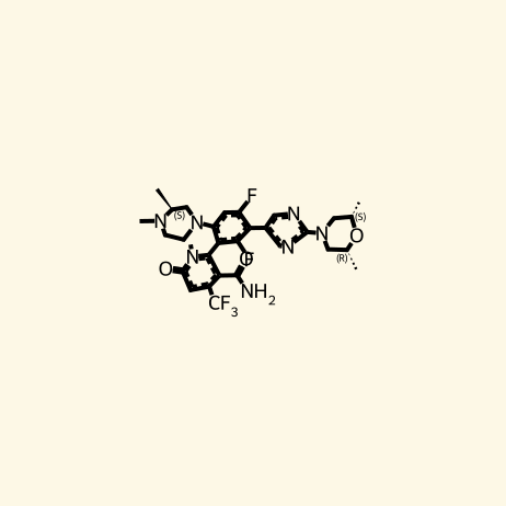 C[C@@H]1CN(c2ncc(-c3c(F)cc(N4CCN(C)[C@@H](C)C4)c(-c4c(C(N)=O)c(C(F)(F)F)cc(=O)n4C)c3F)cn2)C[C@H](C)O1